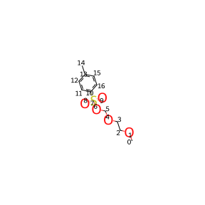 COCCOCOS(=O)(=O)c1ccc(C)cc1